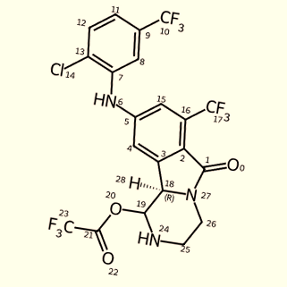 O=C1c2c(cc(Nc3cc(C(F)(F)F)ccc3Cl)cc2C(F)(F)F)[C@@H]2C(OC(=O)C(F)(F)F)NCCN12